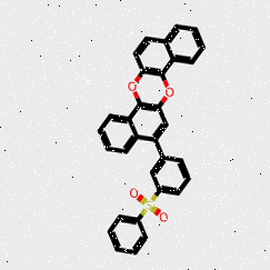 O=S(=O)(c1ccccc1)c1cccc(-c2cc3c(c4ccccc24)Oc2ccc4ccccc4c2O3)c1